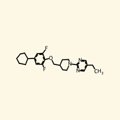 CCc1cnc(N2CCC(COc3c(F)cc(C4CCCCC4)cc3F)CC2)nc1